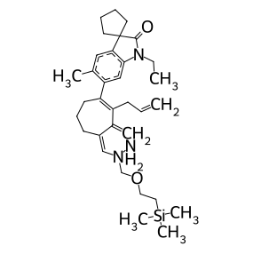 C=CCC1=C(c2cc3c(cc2C)C2(CCCC2)C(=O)N3CC)CCC/C(=C/N(N)COCC[Si](C)(C)C)C1=C